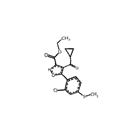 CCOC(=O)c1noc(-c2ccc(SC)cc2Cl)c1C(=O)C1CC1